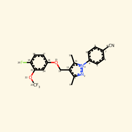 Cc1nn(-c2ccc(C#N)cc2)c(C)c1COc1ccc(F)c(OC(F)(F)F)c1